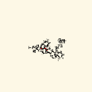 CCC(=CC1=[N+](CCCS(=O)(=O)O)C23C(=CC=C4C=CC=CC42)C=CC=C3S1)C=C1Sc2ccccc2N1CCCS(=O)(=O)O